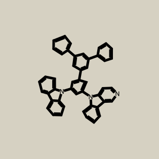 c1ccc(-c2cc(-c3ccccc3)cc(-c3cc(-n4c5ccccc5c5ccccc54)cc(-n4c5ccccc5c5cnccc54)c3)c2)cc1